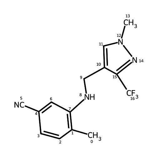 Cc1ccc(C#N)cc1NCc1cn(C)nc1C(F)(F)F